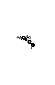 CN(C(=O)Nc1ccc(-c2cc(F)cc(F)c2)nc1)C1CCC(=NO)CC1